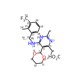 Cc1nc(CC(=O)O)c(C2OCCCO2)c(N[C@H](C)c2cccc(C(F)(F)F)c2C)n1